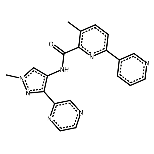 Cc1ccc(-c2cccnc2)nc1C(=O)Nc1cn(C)nc1-c1cnccn1